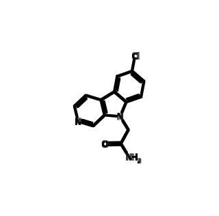 NC(=O)Cn1c2ccc(Cl)cc2c2ccncc21